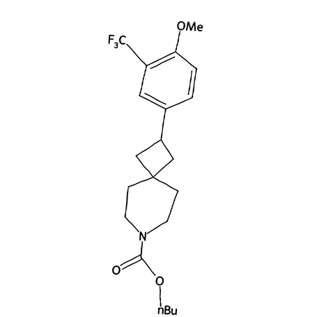 CCCCOC(=O)N1CCC2(CC1)CC(c1ccc(OC)c(C(F)(F)F)c1)C2